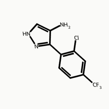 Nc1c[nH]nc1-c1ccc(C(F)(F)F)cc1Cl